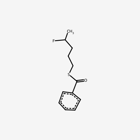 CC(F)CCCSC(=O)c1ccccc1